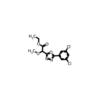 CCOC(=O)C(OC)c1nnc(-c2cc(Cl)cc(Cl)c2)o1